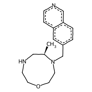 C[C@@H]1CNCCOCCN1Cc1ccc2cnccc2c1